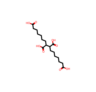 O=C(O)CCCCCCC(C(=O)O)C(CCCCCCC(=O)O)C(=O)O